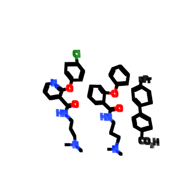 CCCc1ccc(-c2ccc(C(=O)O)cc2)cc1.CN(C)CCCNC(=O)c1ccccc1Oc1ccccc1.CN(C)CCCNC(=O)c1cccnc1Oc1ccc(Cl)cc1